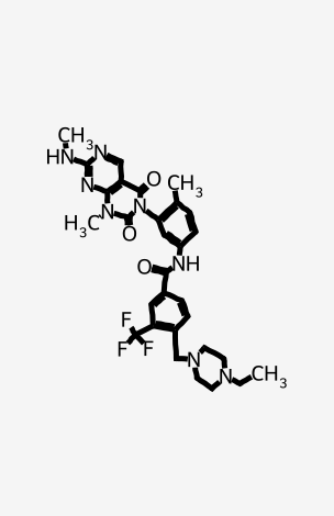 CCN1CCN(Cc2ccc(C(=O)Nc3ccc(C)c(-n4c(=O)c5cnc(NC)nc5n(C)c4=O)c3)cc2C(F)(F)F)CC1